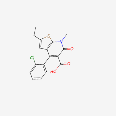 CCc1cc2c(-c3ccccc3Cl)c(C(=O)O)c(=O)n(C)c2s1